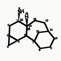 S[C@H]1CC2CC2C2C3CCCC(CC[C@H]21)C3